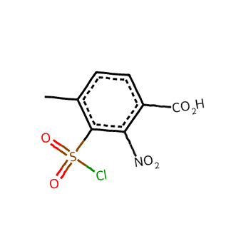 Cc1ccc(C(=O)O)c([N+](=O)[O-])c1S(=O)(=O)Cl